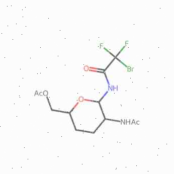 CC(=O)NC1CCC(COC(C)=O)OC1NC(=O)C(F)(F)Br